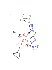 CO[C@@H](Cn1cc(-c2cc(F)c(F)c(F)c2)nn1)C(OC1COC(c2ccccc2)O[C@@H]1C)Sc1cc(Cl)cnc1C(=O)N1CCC1